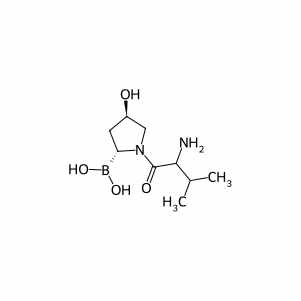 CC(C)C(N)C(=O)N1C[C@H](O)C[C@H]1B(O)O